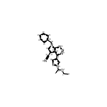 CCOC(C)n1cc(-c2nnnc3c2c(C#N)cn3Cc2ccccc2)cn1